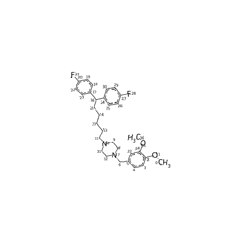 COc1ccc(CN2CCN(CCCCCC(c3ccc(F)cc3)c3ccc(F)cc3)CC2)cc1OC